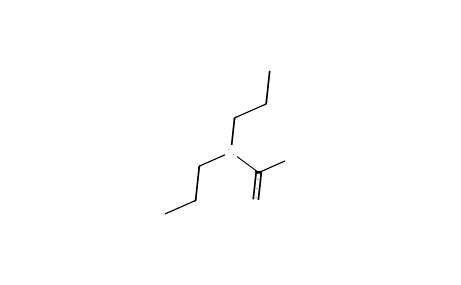 CCCN(CCC)C(=O)[S]